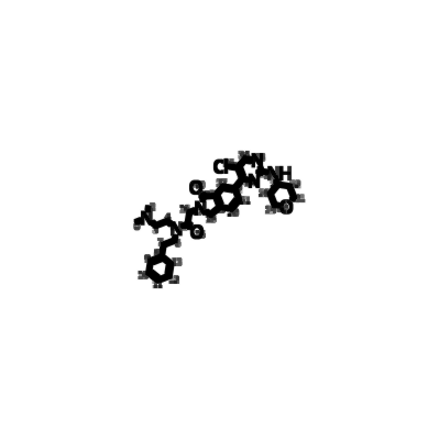 CN(C)CCN(CCc1ccccc1)C(=O)CN1Cc2ccc(-c3nc(NC4CCOCC4)ncc3Cl)cc2C1=O